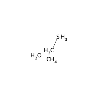 C.C[SiH3].O